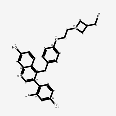 Oc1ccc2c(Cc3ccc(OCCN4CC(CF)C4)cc3)c(-c3ccc(C(F)(F)F)cc3F)cnc2c1